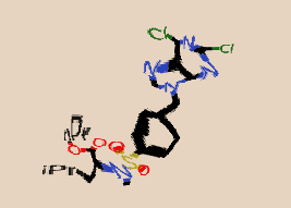 CCCOC(=O)[C@H](CC(C)C)N(C)S(=O)(=O)c1ccc(Cn2cnc3c(Cl)nc(Cl)nc32)cc1